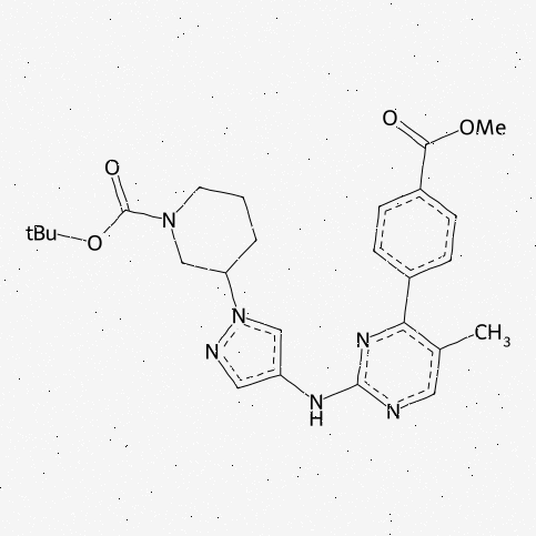 COC(=O)c1ccc(-c2nc(Nc3cnn(C4CCCN(C(=O)OC(C)(C)C)C4)c3)ncc2C)cc1